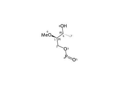 CO[C@H](COP=O)[C@@H](C)O